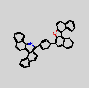 C1=Cc2cc(C3C=CC(c4nc5c6ccccc6ccc5c5c4ccc4ccccc45)=CC3)c3oc4ccc5ccccc5c4c3c2CC1